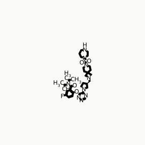 CC(C)N(C(=O)c1cc(F)ccc1Oc1nncnc1N1CC[C@@H](CN2CC3(CCN(S(=O)(=O)N4CCCNCC4)CC3)C2)C1)C(C)C